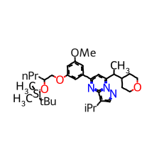 CCCC(COc1cc(OC)cc(-c2cc(C(C)C3CCOCC3)n3ncc(C(C)C)c3n2)c1)O[Si](C)(C)C(C)(C)C